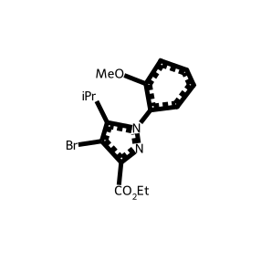 CCOC(=O)c1nn(-c2ccccc2OC)c(C(C)C)c1Br